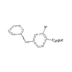 COc1ccc(Cc2c[c]ccc2)cc1F